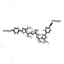 CCCCCCCC#Cc1ccc(-c2nc(C)c(/C(C)=N\NC(=N)N/N=C(\C)c3sc(-c4ccc(CCCCCCC)cc4)nc3C)s2)cc1